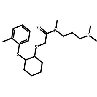 Cc1ccccc1SC1CCCCC1SCC(=O)N(C)CCCN(C)C